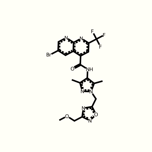 COCc1noc(Cn2nc(C)c(NC(=O)c3cc(C(F)(F)F)nc4ncc(Br)cc34)c2C)n1